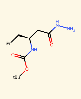 CC(C)C[C@@H](CC(=O)NN)NC(=O)OC(C)(C)C